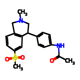 CC(=O)Nc1ccc(C2CN(C)Cc3ccc(S(C)(=O)=O)cc32)cc1